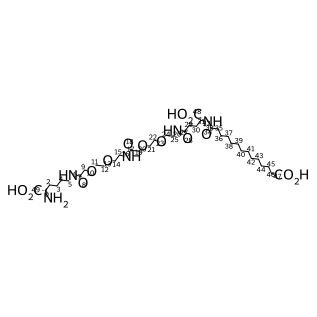 N[C@@H](CCCCNC(=O)COCCOCCNC(=O)COCCOCCNC(=O)CC[C@H](NC(=O)CCCCCCCCCCCCC(=O)O)C(=O)O)C(=O)O